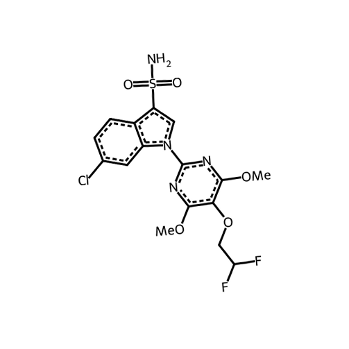 COc1nc(-n2cc(S(N)(=O)=O)c3ccc(Cl)cc32)nc(OC)c1OCC(F)F